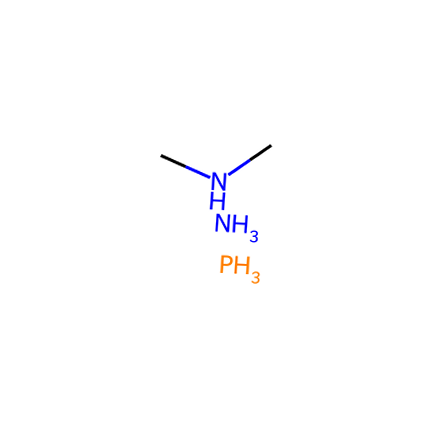 CNC.N.P